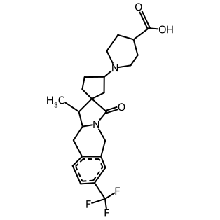 CC1C2Cc3ccc(C(F)(F)F)cc3CN2C(=O)C12CCC(N1CCC(C(=O)O)CC1)C2